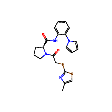 Cc1csc(SCC(=O)N2CCC[C@H]2C(=O)Nc2ccccc2-n2cccc2)n1